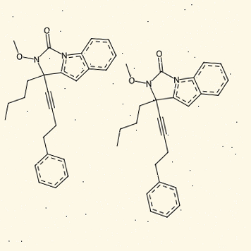 CCCCC1(C#CCCc2ccccc2)c2cc3ccccc3n2C(=O)N1OC.CCCCC1(C#CCCc2ccccc2)c2cc3ccccc3n2C(=O)N1OC